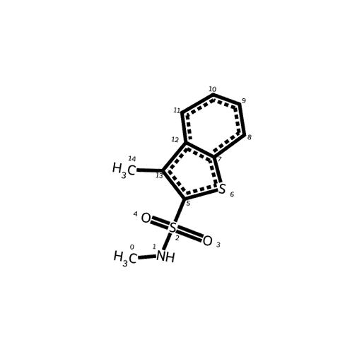 CNS(=O)(=O)c1sc2ccccc2c1C